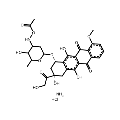 COc1cccc2c1C(=O)c1c(O)c3c(c(O)c1C2=O)C[C@@](O)(C(=O)CO)C[C@@H]3OC1CC(NOC(C)=O)C(O)C(C)O1.Cl.N